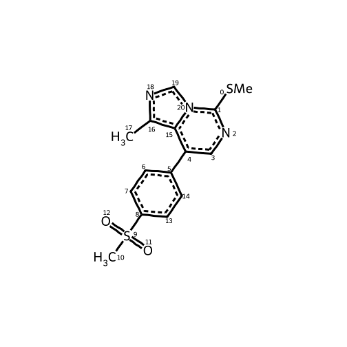 CSc1ncc(-c2ccc(S(C)(=O)=O)cc2)c2c(C)ncn12